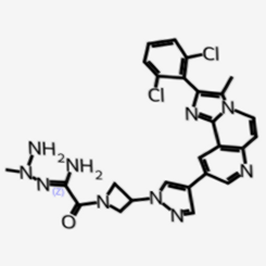 Cc1c(-c2c(Cl)cccc2Cl)nc2c3cc(-c4cnn(C5CN(C(=O)/C(N)=N/N(C)N)C5)c4)cnc3ccn12